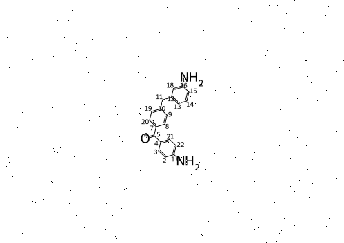 Nc1ccc(C(=O)c2ccc(Cc3cccc(N)c3)cc2)cc1